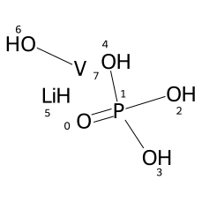 O=P(O)(O)O.[LiH].[OH][V]